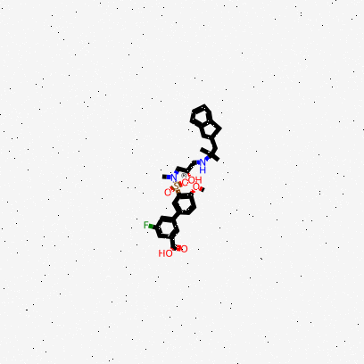 COc1ccc(-c2cc(F)cc(C(=O)O)c2)cc1S(=O)(=O)N(C)C[C@H](O)CNC(C)(C)CC1Cc2ccccc2C1